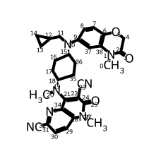 CN1C(=O)COc2ccc(N(CC3CC3)[C@H]3CC[C@@H](N(C)c4c(C#N)c(=O)n(C)c5ccc(C#N)nc45)CC3)cc21